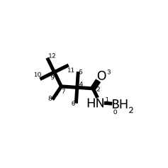 BNC(=O)C(C)(C)C(C)C(C)(C)C